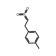 Cc1ccc(CC=S(=O)=O)cc1